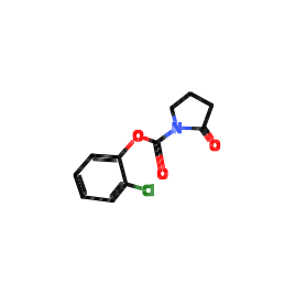 O=C1CCCN1C(=O)Oc1ccccc1Cl